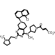 CN1CCCC1COc1nc2c(c(N(C)C3CCN(C(=O)/C=C/C(=O)O)C3)n1)CCN(c1cccc3cccc(Cl)c13)C2